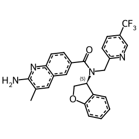 Cc1cc2cc(C(=O)N(Cc3ccc(C(F)(F)F)cn3)[C@@H]3COc4ccccc43)ccc2nc1N